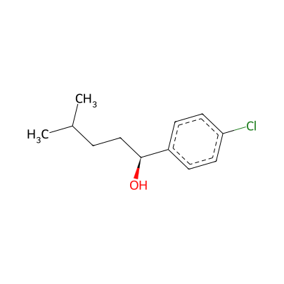 CC(C)CC[C@H](O)c1ccc(Cl)cc1